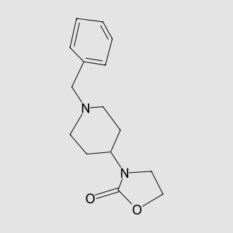 O=C1OCCN1C1CCN(Cc2ccccc2)CC1